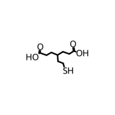 O=C(O)CCC(CCS)CCC(=O)O